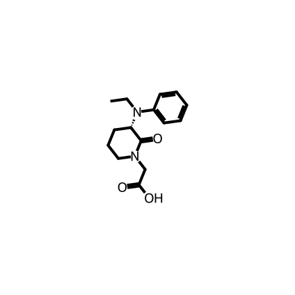 CCN(c1ccccc1)[C@H]1CCCN(CC(=O)O)C1=O